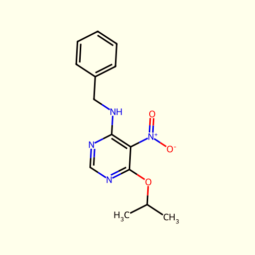 CC(C)Oc1ncnc(NCc2ccccc2)c1[N+](=O)[O-]